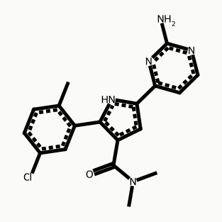 Cc1ccc(Cl)cc1-c1[nH]c(-c2ccnc(N)n2)cc1C(=O)N(C)C